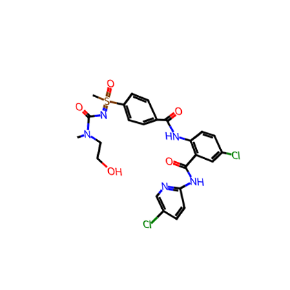 CN(CCO)C(=O)N=S(C)(=O)c1ccc(C(=O)Nc2ccc(Cl)cc2C(=O)Nc2ccc(Cl)cn2)cc1